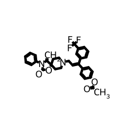 C=C1N(c2ccccc2)C(=O)OC12CCN(CC=C(c1ccc(OC(C)=O)cc1)c1cccc(C(F)(F)F)c1)CC2